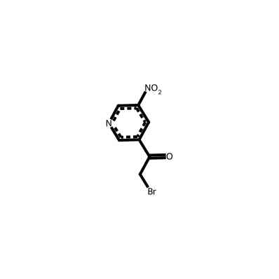 O=C(CBr)c1cncc([N+](=O)[O-])c1